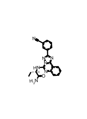 CC[C@H](Nc1nc2ccccc2c2nc(-c3cccc(C#N)c3)nn12)C(N)=O